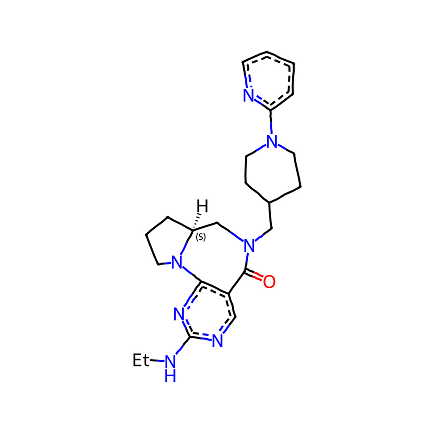 CCNc1ncc2c(n1)N1CCC[C@H]1CN(CC1CCN(c3ccccn3)CC1)C2=O